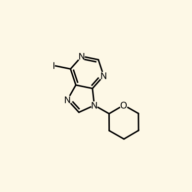 Ic1ncnc2c1ncn2C1CCCCO1